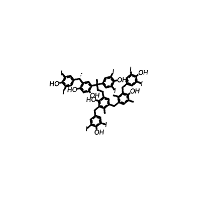 Cc1cc(Cc2cc(CCC(C)(c3cc(I)c(O)c(I)c3)c3cc([C@@H](C)c4cc(I)c(O)c(I)c4)c(O)cc3O)c(O)c(Cc3cc(I)c(O)c(I)c3)c2C)c(C)c(Cc2cc(I)c(O)c(I)c2)c1O